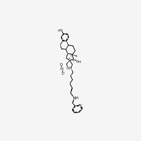 C[C@]12CCC3c4ccc(O)cc4CCC3C1C[C@@](CO)(CCCCCCCCNCc1ccccn1)[C@@H]2O.[Cl][Pt][Cl]